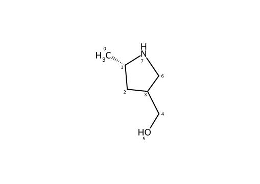 C[C@H]1CC(CO)CN1